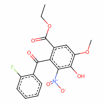 CCOC(=O)c1cc(OC)c(O)c([N+](=O)[O-])c1C(=O)c1ccccc1F